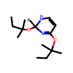 CCC(C)(C)OC1=N[C]([Ti])(OC(C)(C)CC)NC=C1